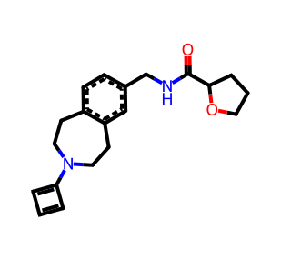 O=C(NCc1ccc2c(c1)CCN(C1=CC=C1)CC2)C1CCCO1